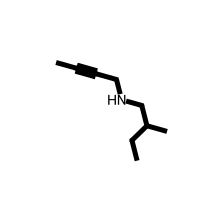 CC#CCNCC(C)CC